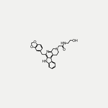 O=C(CN1CCc2c(nc(Cc3ccc4c(c3)OCO4)c3[nH]c4ccccc4c23)C1)NCCO